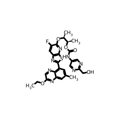 CCOc1cnc2c(-c3nc4cc(F)c(O[C@@H](C)[C@@H](C)OC(=O)Nc5cnc(CO)nc5)nc4s3)cc(C)cc2n1